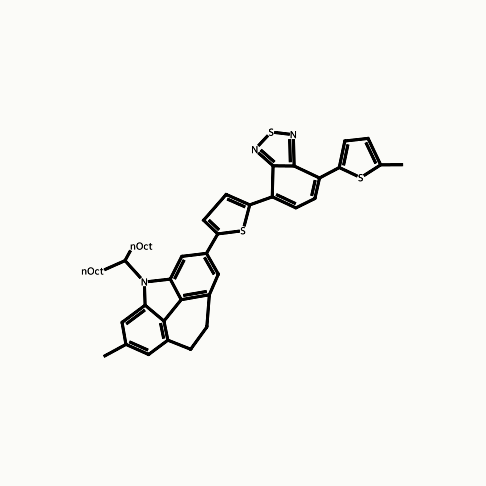 CCCCCCCCC(CCCCCCCC)n1c2cc(C)cc3c2c2c(cc(-c4ccc(-c5ccc(-c6ccc(C)s6)c6nsnc56)s4)cc21)CC3